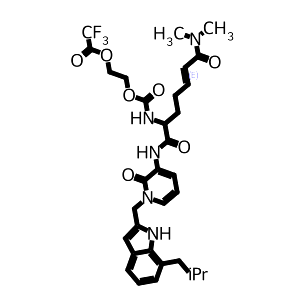 CC(C)Cc1cccc2cc(Cn3cccc(NC(=O)C(CC/C=C/C(=O)N(C)C)NC(=O)OCCOC(=O)C(F)(F)F)c3=O)[nH]c12